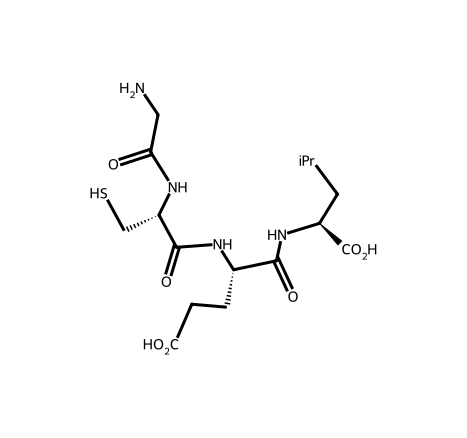 CC(C)C[C@H](NC(=O)[C@H](CCC(=O)O)NC(=O)[C@H](CS)NC(=O)CN)C(=O)O